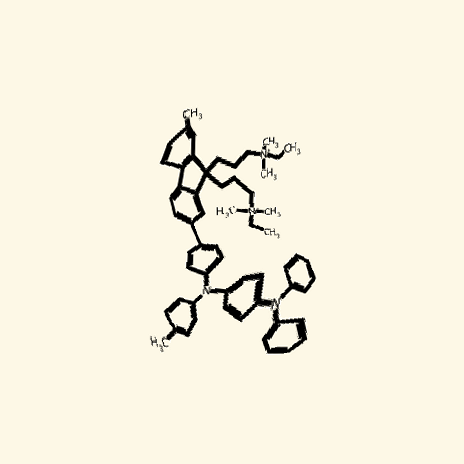 CC[N+](C)(C)CCCC1(CCC[N+](C)(C)CC)c2cc(C)ccc2-c2ccc(-c3ccc(N(c4ccc(C)cc4)c4ccc(N(c5ccccc5)c5ccccc5)cc4)cc3)cc21